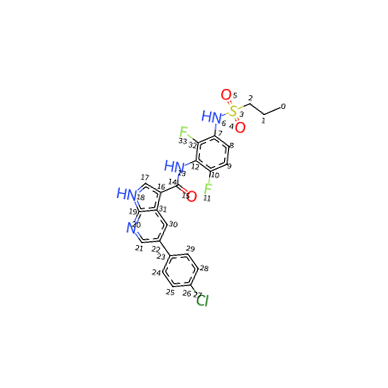 CCCS(=O)(=O)Nc1ccc(F)c(NC(=O)c2c[nH]c3ncc(-c4ccc(Cl)cc4)cc23)c1F